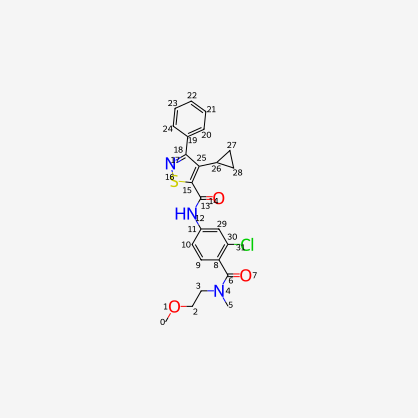 COCCN(C)C(=O)c1ccc(NC(=O)c2snc(-c3ccccc3)c2C2CC2)cc1Cl